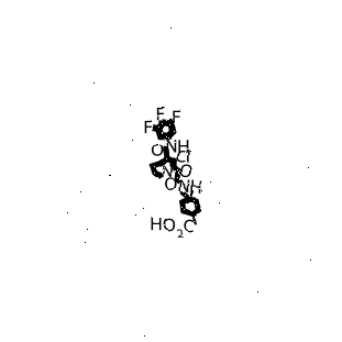 C[C@]1(CNC(=O)C(=O)c2c(Cl)c(C(=O)Nc3cc(F)c(F)c(F)c3)c3n2CCC3)CC[C@H](CC(=O)O)CC1